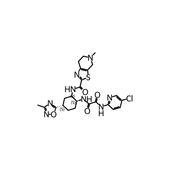 Cc1noc([C@H]2CC[C@H](NC(=O)C(=O)Nc3ccc(Cl)cn3)[C@H](NC(=O)c3nc4c(s3)CN(C)CC4)C2)n1